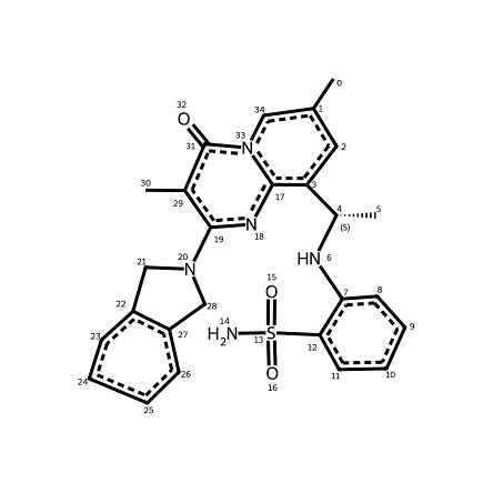 Cc1cc([C@H](C)Nc2ccccc2S(N)(=O)=O)c2nc(N3Cc4ccccc4C3)c(C)c(=O)n2c1